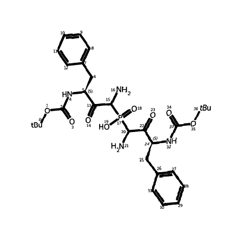 CC(C)(C)OC(=O)N[C@@H](Cc1ccccc1)C(=O)C(N)P(=O)(O)C(N)C(=O)[C@H](Cc1ccccc1)NC(=O)OC(C)(C)C